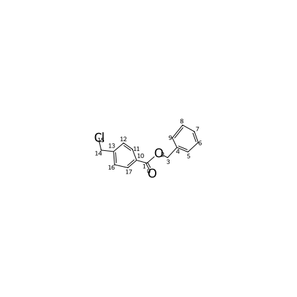 O=C(OCc1ccccc1)c1ccc(CCl)cc1